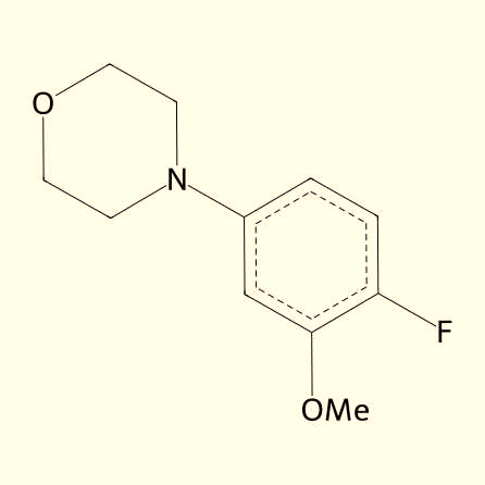 COc1cc(N2CCOCC2)ccc1F